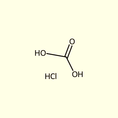 Cl.O=C(O)O